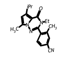 CCn1c(-c2ccc(C#N)cc2C)nn2c(C)cc(C(C)C)c2c1=O